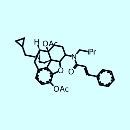 CC(=O)Oc1ccc2c3c1OC1C(N(CC(C)C)C(=O)/C=C/c4ccccc4)CC[C@@]4(OC(C)=O)[C@@H](C2)N(CC2CC2)CC[C@]314